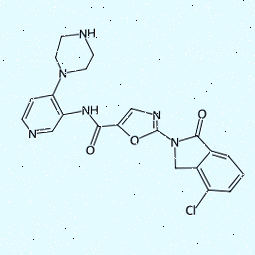 O=C(Nc1cnccc1N1CCNCC1)c1cnc(N2Cc3c(Cl)cccc3C2=O)o1